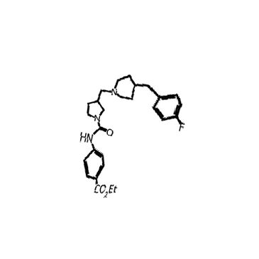 CCOC(=O)c1ccc(NC(=O)N2CCC(CN3CCC(Cc4ccc(F)cc4)CC3)C2)cc1